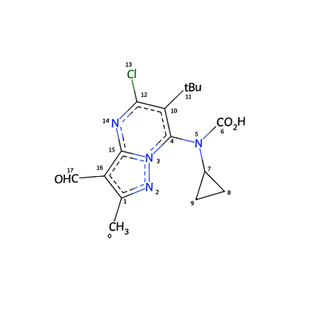 Cc1nn2c(N(C(=O)O)C3CC3)c(C(C)(C)C)c(Cl)nc2c1C=O